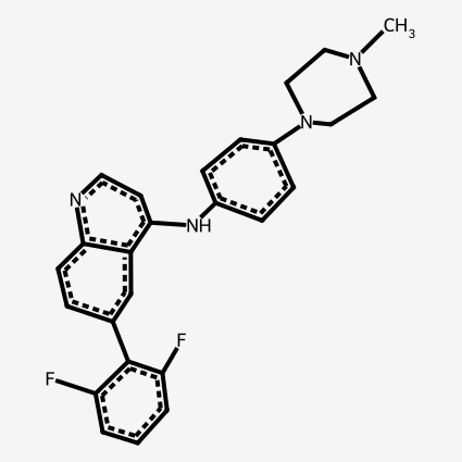 CN1CCN(c2ccc(Nc3ccnc4ccc(-c5c(F)cccc5F)cc34)cc2)CC1